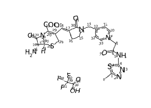 Cc1nnc(NC(=O)C[n+]2ccc(CN3CCC(=CC4=C(C(=O)[O-])N5C(=O)[C@@H](N)[C@H]5SC4)C3=O)cc2)s1.O=C(O)C(F)(F)F